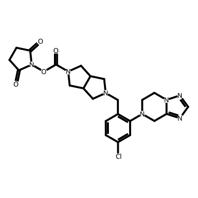 O=C(ON1C(=O)CCC1=O)N1CC2CN(Cc3ccc(Cl)cc3N3CCn4ncnc4C3)CC2C1